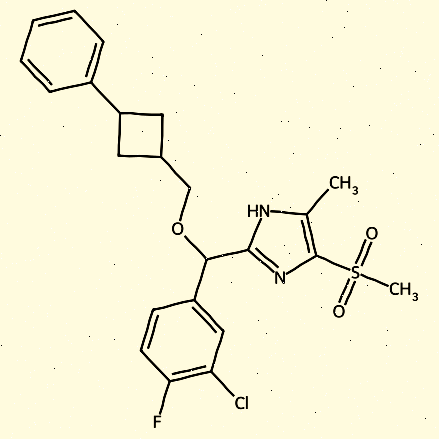 Cc1[nH]c(C(OCC2CC(c3ccccc3)C2)c2ccc(F)c(Cl)c2)nc1S(C)(=O)=O